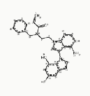 C=CC(=O)N(CCn1nc(-n2ccc3cc(F)cc(O)c32)c2c(N)ncnc21)Cc1ccccc1